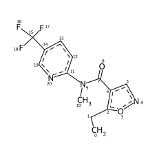 CCc1oncc1C(=O)N(C)c1ccc(C(F)(F)F)cn1